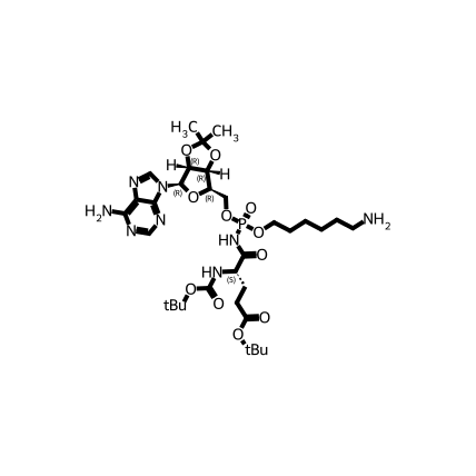 CC(C)(C)OC(=O)CC[C@H](NC(=O)OC(C)(C)C)C(=O)NP(=O)(OCCCCCCN)OC[C@H]1O[C@@H](n2cnc3c(N)ncnc32)[C@@H]2OC(C)(C)O[C@@H]21